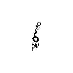 O=[C]OCC=Cc1ccc(OC(F)(F)F)cc1